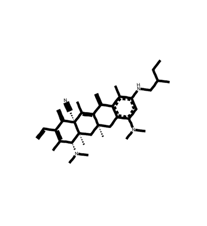 C=CC1=C(C)[C@@H](N(C)C)[C@]2(C)C[C@]3(C)Cc4c(N(C)C)cc(NCC(C)CC)c(C)c4C(=C)C3=C(C)[C@]2(C#N)C1=C